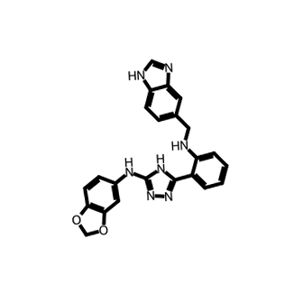 c1ccc(-c2nnc(Nc3ccc4c(c3)OCO4)[nH]2)c(NCc2ccc3[nH]cnc3c2)c1